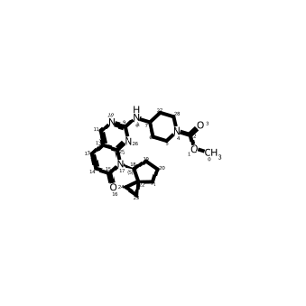 COC(=O)N1CCC(Nc2ncc3ccc(=O)n([C@H]4CCCC45CC5)c3n2)CC1